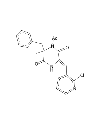 CC(=O)N1C(=O)C(=Cc2cccnc2Cl)NC(=O)C1(C)Cc1ccccc1